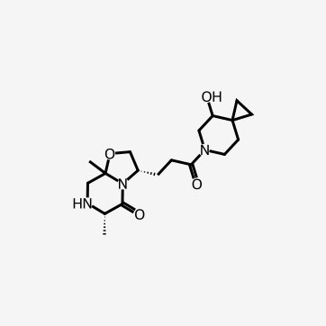 C[C@@H]1NCC2(C)OC[C@H](CCC(=O)N3CCC4(CC4)C(O)C3)N2C1=O